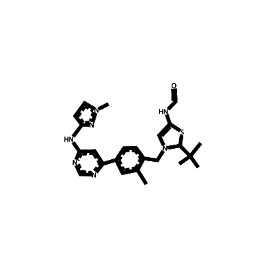 Cc1cc(-c2cc(Nc3ccn(C)n3)ncn2)ccc1CN1C=C(NC=O)SC1C(C)(C)C